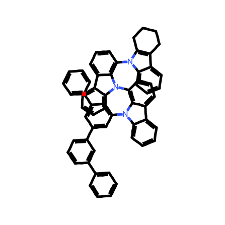 c1ccc(-c2cccc(-c3cc(-c4ccccc4)cc(-n4c5ccccc5c5cccc(-n6c7ccccc7c7cccc(-n8c9c(c%10ccccc%108)CCCC9)c76)c54)c3)c2)cc1